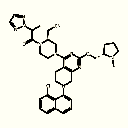 CC(C(=O)N1CCN(c2nc(OC[C@@H]3CCCN3C)nc3c2CCN(c2cccc4cccc(Cl)c24)C3)C[C@@H]1CC#N)n1nccn1